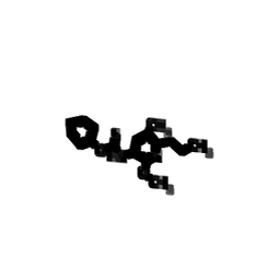 CCCc1nc(OC)c(NC(=S)Oc2ccccc2)cc1C